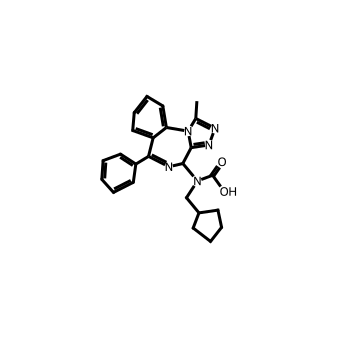 Cc1nnc2n1-c1ccccc1C(c1ccccc1)=NC2N(CC1CCCC1)C(=O)O